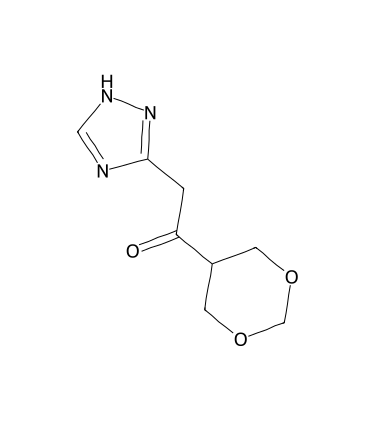 O=C(Cc1nc[nH]n1)C1COCOC1